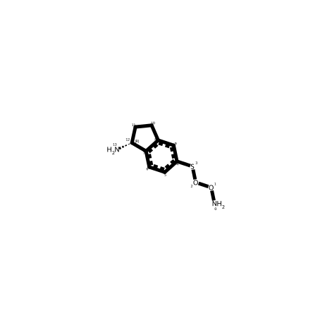 NOOSc1ccc2c(c1)CC[C@H]2N